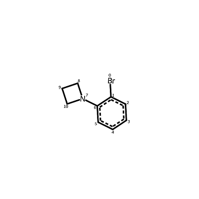 Brc1ccccc1N1CCC1